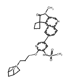 CN1C(=O)C2(CCC2)c2c1cnc1ccc(-c3cnc(OCCCN4CC5CC(C4)O5)c(NS(C)(=O)=O)c3)cc21